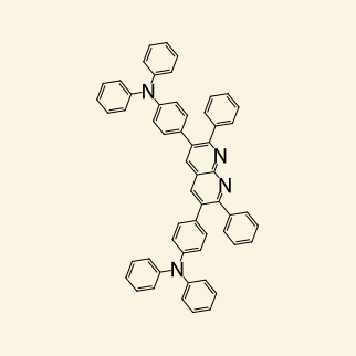 c1ccc(-c2nc3nc(-c4ccccc4)c(-c4ccc(N(c5ccccc5)c5ccccc5)cc4)cc3cc2-c2ccc(N(c3ccccc3)c3ccccc3)cc2)cc1